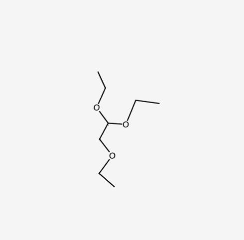 CCOC[C](OCC)OCC